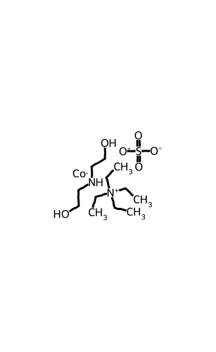 CC[N+](CC)(CC)CC.O=S(=O)([O-])[O-].OCCNCCO.[Co]